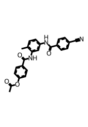 CC(=O)Oc1ccc(C(=O)Nc2cc(NC(=O)c3ccc(C#N)cc3)ccc2C)cc1